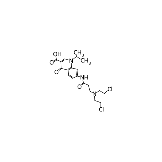 CC(C)n1cc(C(=O)O)c(=O)c2ccc(NC(=O)CCN(CCCl)CCCl)cc21